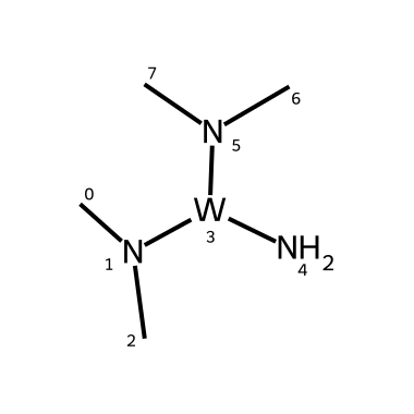 C[N](C)[W]([NH2])[N](C)C